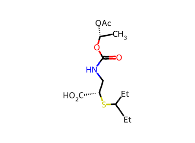 CCC(CC)S[C@@H](CNC(=O)O[C@@H](C)OC(C)=O)C(=O)O